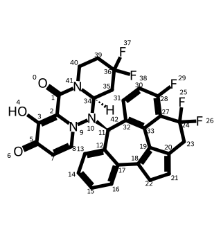 O=C1c2c(O)c(=O)ccn2N([C@@H]2c3ccccc3C3=C4C(=CC3)CC(F)(F)c3c(F)ccc2c34)[C@@H]2CC(F)(F)CCN12